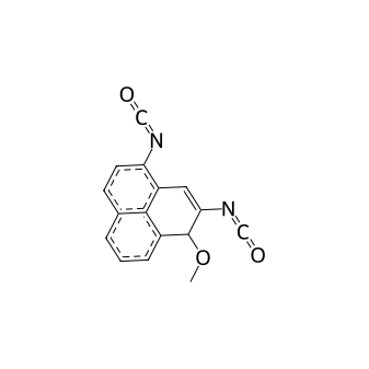 COC1C(N=C=O)=Cc2c(N=C=O)ccc3cccc1c23